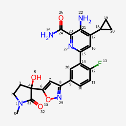 CN1CCC(O)(c2cc(-c3ccc(F)c(-c4cc(C5CC5)c(N)c(C(N)=O)n4)c3)no2)C1=O